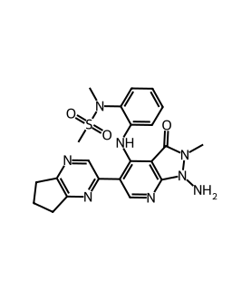 CN(c1ccccc1Nc1c(-c2cnc3c(n2)CCC3)cnc2c1c(=O)n(C)n2N)S(C)(=O)=O